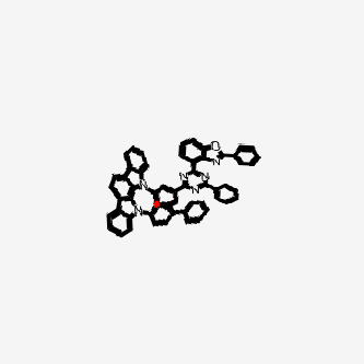 c1ccc(-c2ccc(-n3c4ccccc4c4ccc5c6ccccc6n(-c6cccc(-c7nc(-c8ccccc8)nc(-c8cccc9oc(-c%10ccccc%10)nc89)n7)c6)c5c43)cc2)cc1